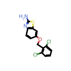 Nc1nc2ccc(OCc3c(Cl)cccc3Cl)cc2s1